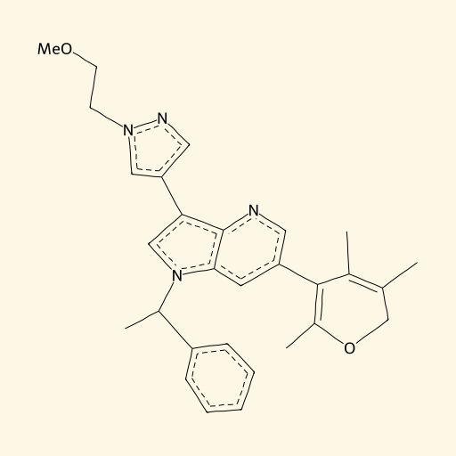 COCCn1cc(-c2cn(C(C)c3ccccc3)c3cc(C4=C(C)OCC(C)=C4C)cnc23)cn1